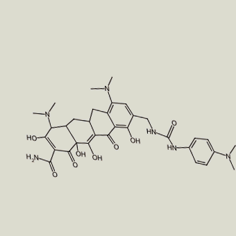 CN(C)c1ccc(NC(=O)NCc2cc(N(C)C)c3c(c2O)C(=O)C2=C(O)C4(O)C(=O)C(C(N)=O)=C(O)C(N(C)C)C4CC2C3)cc1